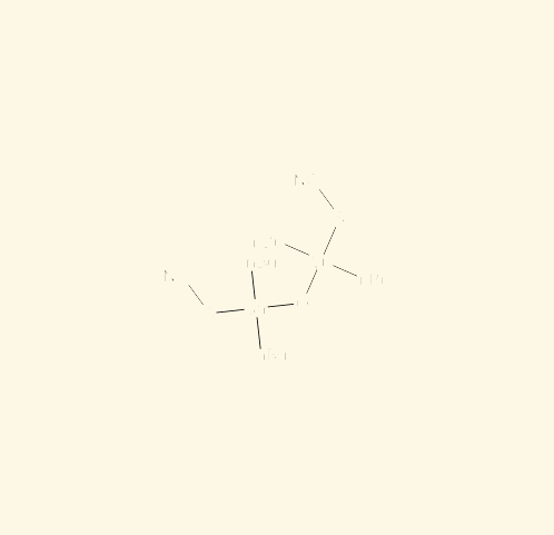 CCC[CH2][Sn]([CH2]CCC)([O][Sn]([CH2]CCC)([CH2]CCC)[S]C#N)[S]C#N